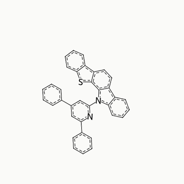 c1ccc(-c2cc(-c3ccccc3)nc(-n3c4ccccc4c4ccc5c6ccccc6sc5c43)c2)cc1